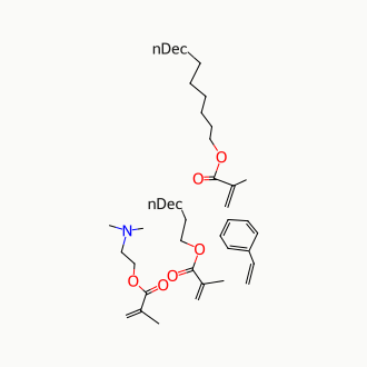 C=C(C)C(=O)OCCCCCCCCCCCC.C=C(C)C(=O)OCCCCCCCCCCCCCCCC.C=C(C)C(=O)OCCN(C)C.C=Cc1ccccc1